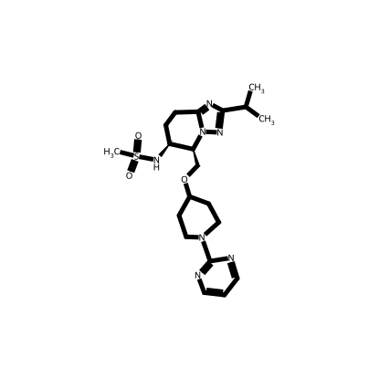 CC(C)c1nc2n(n1)[C@@H](COC1CCN(c3ncccn3)CC1)[C@@H](NS(C)(=O)=O)CC2